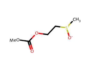 [CH2]OC(=O)OCC[S+](C)[O-]